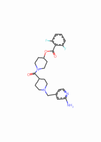 Nc1cc(CN2CCC(C(=O)N3CCC(OC(=O)c4c(F)cccc4F)CC3)CC2)ccn1